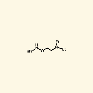 CCCNOCCN(CC)CC